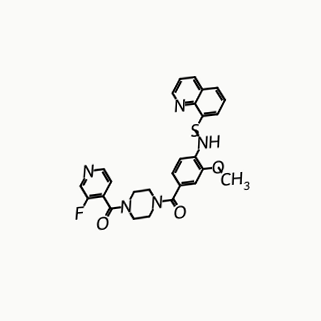 COc1cc(C(=O)N2CCN(C(=O)c3ccncc3F)CC2)ccc1NSc1cccc2cccnc12